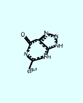 CC(C)(C)c1nc(=O)c2nn[nH]c2[nH]1